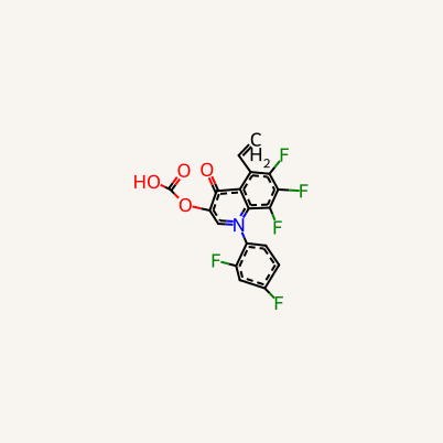 C=Cc1c(F)c(F)c(F)c2c1c(=O)c(OC(=O)O)cn2-c1ccc(F)cc1F